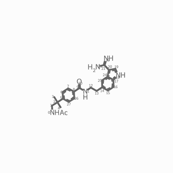 CC(=O)NCC(C)(C)c1ccc(C(=O)NCCc2ccc3[nH]cc(C(=N)N)c3c2)cc1